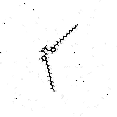 C=CCC=CCC=CCCCCCCCc1cccc(C(OC(c2cccc(CCCCCCCC=CCC=CCC=C)c2)C2CO2)C2CO2)c1